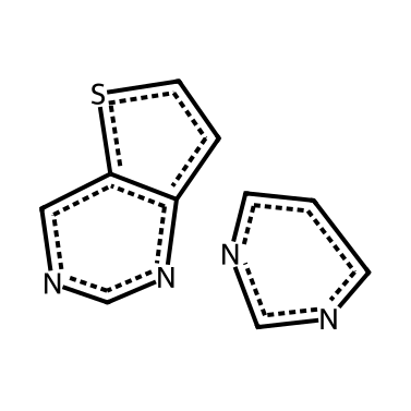 c1cncnc1.c1ncc2sccc2n1